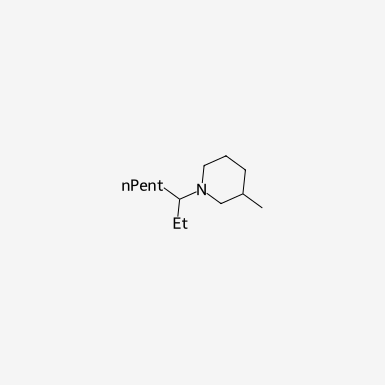 CCCCCC(CC)N1CCCC(C)C1